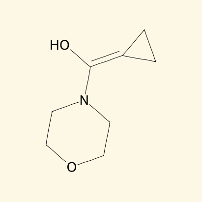 OC(=C1CC1)N1CCOCC1